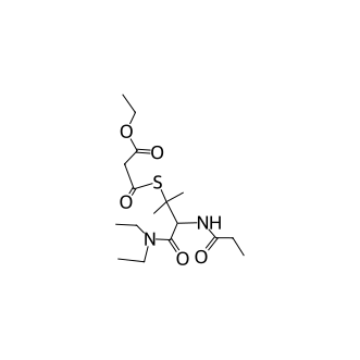 CCOC(=O)CC(=O)SC(C)(C)C(NC(=O)CC)C(=O)N(CC)CC